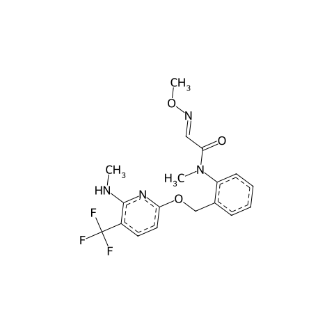 CNc1nc(OCc2ccccc2N(C)C(=O)C=NOC)ccc1C(F)(F)F